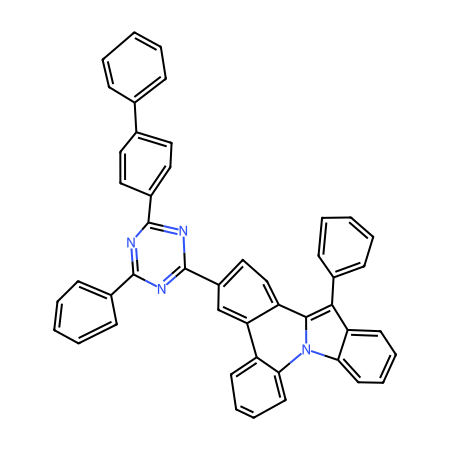 c1ccc(-c2ccc(-c3nc(-c4ccccc4)nc(-c4ccc5c(c4)c4ccccc4n4c6ccccc6c(-c6ccccc6)c54)n3)cc2)cc1